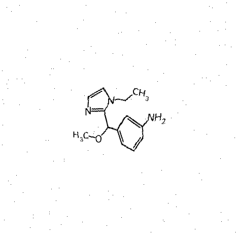 CCn1ccnc1C(OC)c1cccc(N)c1